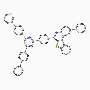 c1ccc(-c2ccc(-c3cc(-c4ccc(-c5ccccc5)cc4)nc(-c4ccc(-c5nc6ccc(-c7ccccc7)cc6c6c5sc5ccccc56)cc4)n3)cc2)cc1